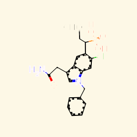 NC(=O)Cc1cn(Cc2ccccc2)c2cc(Cl)c(C(CC=O)P(=O)(O)O)cc12